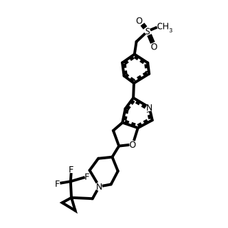 CS(=O)(=O)Cc1ccc(-c2cc3c(cn2)OC(C2CCN(CC4(C(F)(F)F)CC4)CC2)C3)cc1